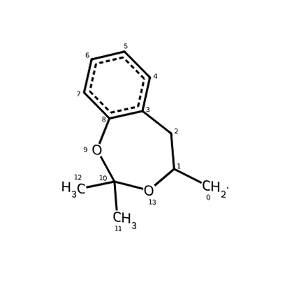 [CH2]C1Cc2ccccc2OC(C)(C)O1